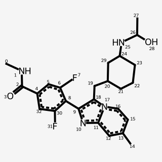 CNC(=O)c1cc(F)c(-c2nc3cc(C)ccn3c2CC2CCCC(NC(C)O)C2)c(F)c1